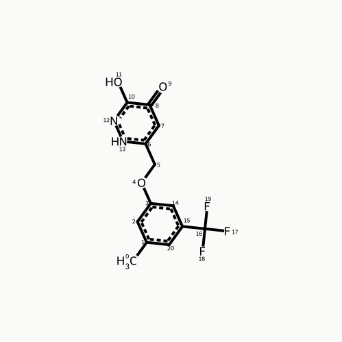 Cc1cc(OCc2cc(=O)c(O)n[nH]2)cc(C(F)(F)F)c1